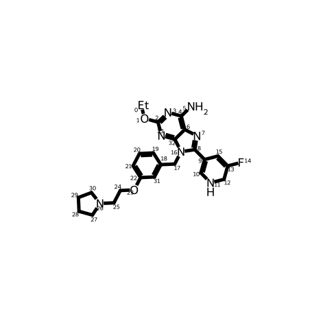 CCOc1nc(N)c2nc(C3=CNCC(F)=C3)n(Cc3cccc(OCCN4CCCC4)c3)c2n1